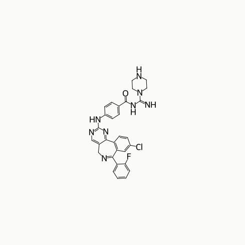 N=C(NC(=O)c1ccc(Nc2ncc3c(n2)-c2ccc(Cl)cc2C(c2ccccc2F)=NC3)cc1)N1CCNCC1